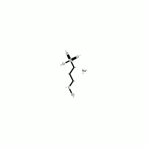 CCSCCCS(=O)(=O)[O-].[Na+]